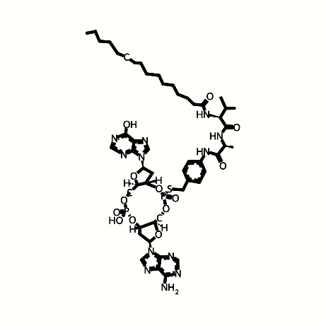 CCCCCCCCCCCCCCCC(=O)N[C@H](C(=O)N[C@@H](C)C(=O)Nc1ccc(CSP2(=O)OC[C@H]3O[C@@H](n4cnc5c(N)ncnc54)C[C@@H]3OP(=O)(O)OC[C@H]3O[C@@H](n4cnc5c(O)ncnc54)C[C@@H]3O2)cc1)C(C)C